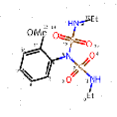 CCNS(=O)(=O)N(c1ccccc1OC)S(=O)(=O)NCC